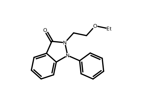 CCOCCn1c(=O)c2ccccc2n1-c1ccccc1